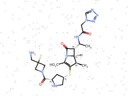 CC(NC(=O)Cn1cnnn1)[C@H]1C(=O)N2C(C(=O)O)=C(S[C@@H]3CN[C@H](C(=O)N4CC(F)(CN)C4)C3)[C@H](C)[C@H]12